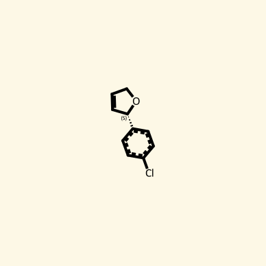 Clc1ccc([C@@H]2C=CCO2)cc1